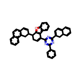 C1=CC2=CC=C(c3nc(C4=CCC(C5C=Cc6ccc7ccccc7c6C5)c5oc6ccccc6c54)nc(-c4ccccc4)n3)CC2C=C1